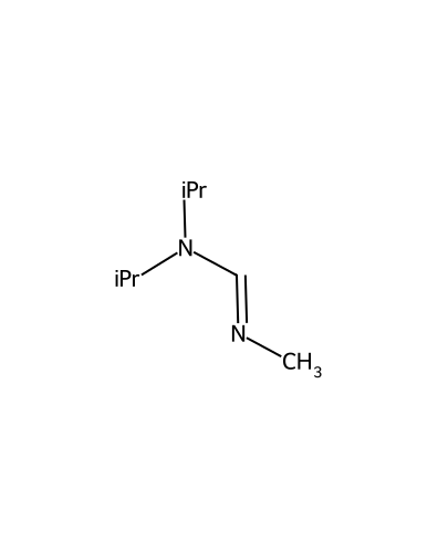 C/N=C/N(C(C)C)C(C)C